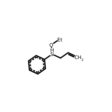 C=CC[SiH](OCC)c1ccccc1